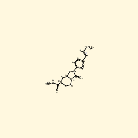 CCOC(=O)/C(C)=C/c1ccc(N2CC3CN(C(=O)OC(C)(C)C)CCN3C2=O)cc1